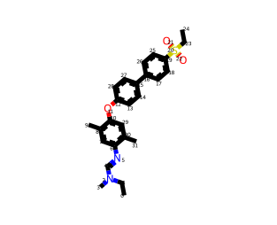 CCN(C)C=Nc1cc(C)c(Oc2ccc(-c3ccc(S(=O)(=O)CC)cc3)cc2)cc1C